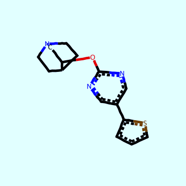 c1csc(-c2cnc(OC3CN4CCC3CC4)nc2)c1